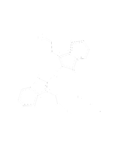 C.C=CCn1[c]([V+3][c]2nc3ccccc3n2CC=C)nc2ccccc21.[Cl-].[Cl-].[Cl-]